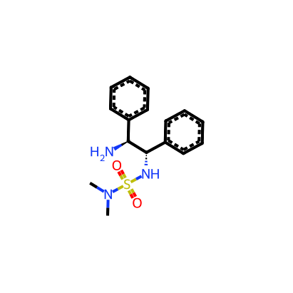 CN(C)S(=O)(=O)N[C@@H](c1ccccc1)[C@@H](N)c1ccccc1